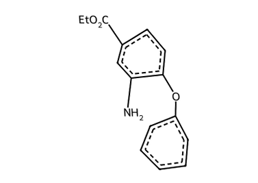 CCOC(=O)c1ccc(Oc2ccccc2)c(N)c1